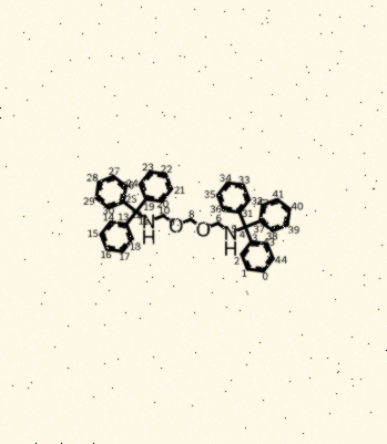 c1ccc(C(NCOCOCNC(c2ccccc2)(c2ccccc2)c2ccccc2)(c2ccccc2)c2ccccc2)cc1